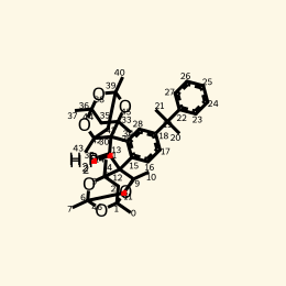 CC12CC3(C)OC(C)(CC(C)(O1)C3(CP)c1ccc(C(C)(C)c3ccccc3)cc1C1(CP)C3(C)CC4(C)OC(C)(CC1(C)O4)O3)O2